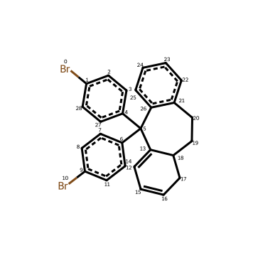 Brc1ccc(C2(c3ccc(Br)cc3)C3=CC=CCC3CCc3ccccc32)cc1